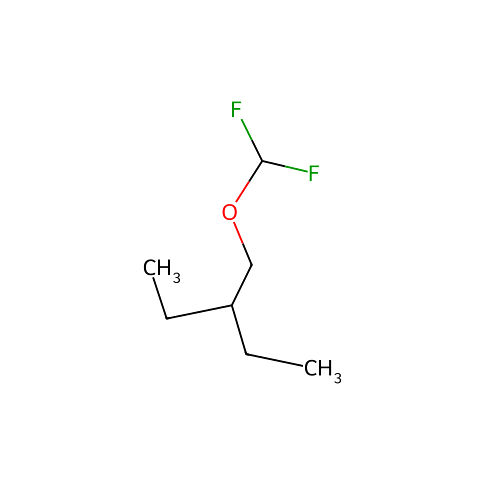 CCC(CC)COC(F)F